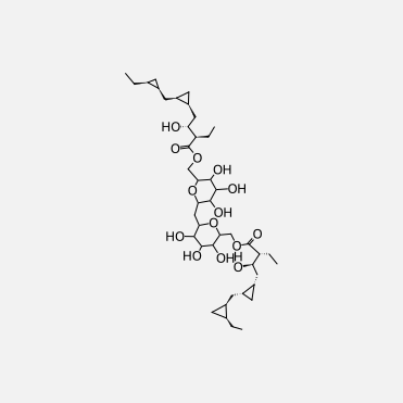 CC[C@H]1C[C@H]1C[C@H]1C[C@H]1C[C@@H](O)[C@@H](CC)C(=O)OCC1OC(CC2OC(COC(=O)[C@H](CC)[C@H](O)C[C@@H]3C[C@@H]3C[C@@H]3C[C@@H]3CC)C(O)C(O)C2O)C(O)C(O)C1O